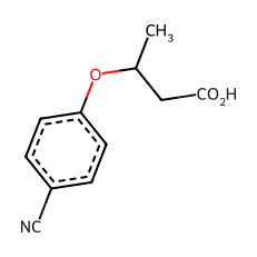 CC(CC(=O)O)Oc1ccc(C#N)cc1